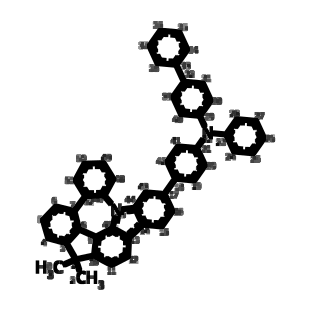 CC1(C)c2cccc3c2-c2c1ccc1c4ccc(-c5ccc(N(c6ccccc6)c6ccc(-c7ccccc7)cc6)cc5)cc4n(c21)-c1ccccc1-3